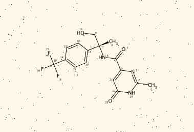 Cc1nc(C(=O)N[C@@](C)(CO)c2ccc(C(F)(F)F)cc2)cc(=O)[nH]1